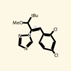 COC(/C(=C/c1ccc(Cl)cc1Cl)n1cncn1)C(C)(C)C